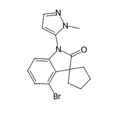 Cn1nccc1N1C(=O)C2(CCCC2)c2c(Br)cccc21